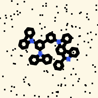 c1ccc(-c2nc3ccccc3c3c2ccc2c3c3ccccc3n2-c2cccc(-c3cc(-n4c5ccccc5c5ccccc54)cc(-n4c5ccccc5c5ccccc54)c3)c2)cc1